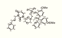 COc1ccc(C(OC[C@]2(CO[Si](C(C)C)(C(C)C)C(C)C)COC[C@H](n3ccc(=O)n(COCc4ccccc4)c3=O)O2)(c2ccccc2)c2ccc(OC)cc2)cc1